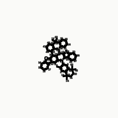 Cc1cc2c(cc1N1c3cc4c(oc5ccccc54)c4c3B(c3sc5ccccc5c31)N1c3ccccc3C(C)(C)c3cccc-4c31)C(C)(C)CCC2(C)C